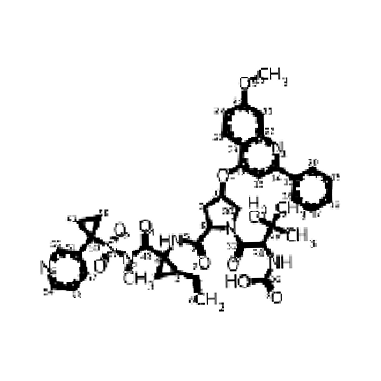 C=CC1CC1(NC(=O)C1CC(Oc2cc(-c3ccccc3)nc3cc(OC)ccc23)CN1C(=O)C(NC(=O)O)C(C)(C)C)C(=O)N(C)S(=O)(=O)C1(c2cccnc2)CC1